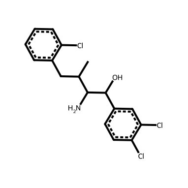 CC(Cc1ccccc1Cl)C(N)C(O)c1ccc(Cl)c(Cl)c1